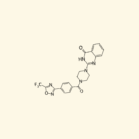 O=C(c1ccc(-c2noc(C(F)(F)F)n2)cc1)N1CCN(c2nc3ccccc3c(=O)[nH]2)CC1